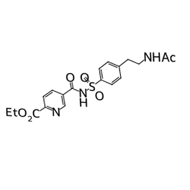 CCOC(=O)c1ccc(C(=O)NS(=O)(=O)c2ccc(CCNC(C)=O)cc2)cn1